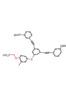 COc1cccc(C#Cc2cc(C#Cc3cccc(OC)c3)cc(Sc3ccc(OCC(=O)O)c(C)c3)c2)c1